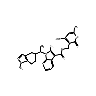 CSc1cc(C)[nH]c(=O)c1CNC(=O)c1c(C)n(C(C)C2CCc3c(cnn3C)C2)c2ncccc12